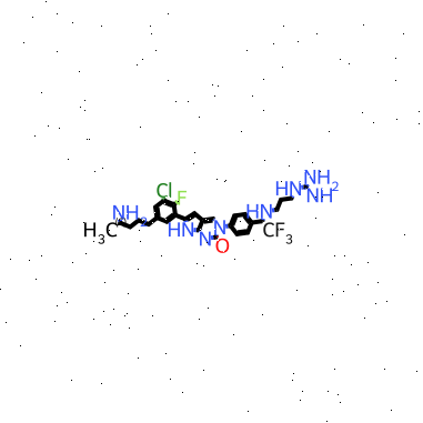 C[C@H](N)CCCc1cc(Cl)c(F)c(-c2cc3cn(-c4ccc(C(NCCCNC(=N)N)C(F)(F)F)cc4)c(=O)nc3[nH]2)c1